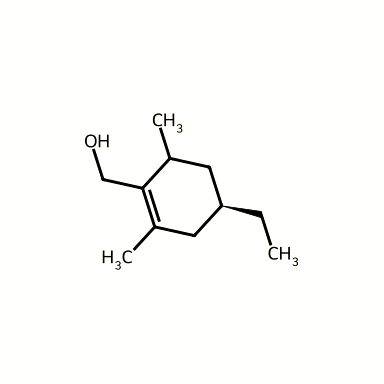 CC[C@H]1CC(C)=C(CO)C(C)C1